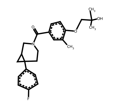 Cc1cc(C(=O)N2CCC3(c4ccc(F)cc4)CC3C2)ccc1OCC(C)(C)O